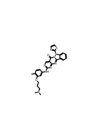 Cc1ccc(Nc2ncc3c(=O)n4c(nc3n2)c2ccccc2n4-c2nccs2)cc1OCCCN(C)C